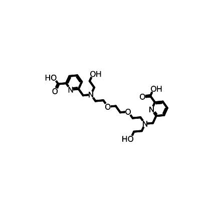 O=C(O)c1cccc(CN(CCO)CCOCCOCCN(CCO)Cc2cccc(C(=O)O)n2)n1